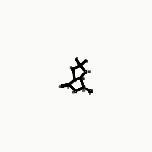 CC[C@@H]1OC(=O)C2OC(C)(C)OC21